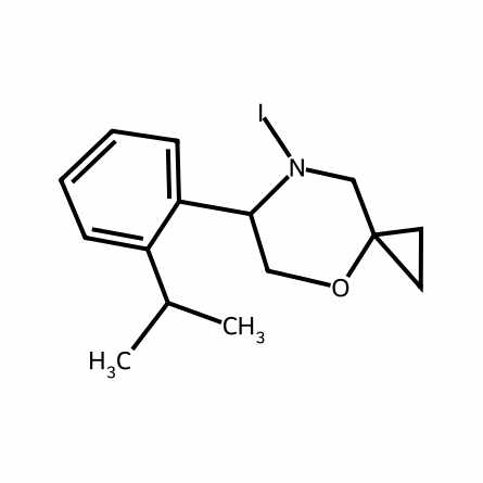 CC(C)c1ccccc1C1COC2(CC2)CN1I